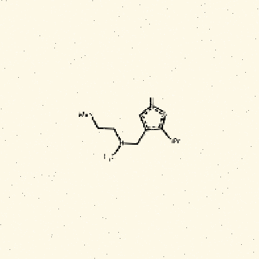 CCCc1n[nH]cc1CN(C)CCNC